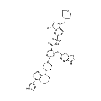 O=C(NS(=O)(=O)c1ccc(NCC2CCOCC2)c([N+](=O)[O-])c1)c1ccc(N2CCN(C3CCCCc4c(-c5cn[nH]c5)cccc43)CC2)cc1Oc1cnc2[nH]ccc2c1